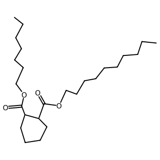 CCCCCCCCCCOC(=O)C1CCCCC1C(=O)OCCCCCCC